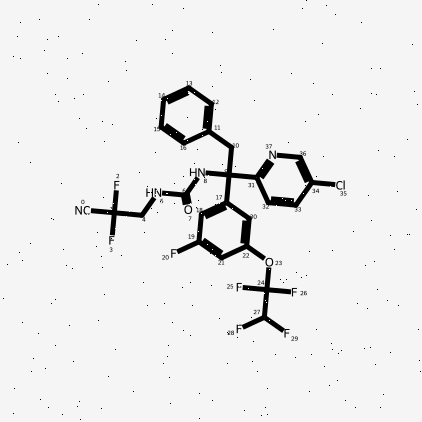 N#CC(F)(F)CNC(=O)NC(Cc1ccccc1)(c1cc(F)cc(OC(F)(F)C(F)F)c1)c1ccc(Cl)cn1